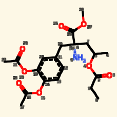 CCC(=O)OC(C)C[C@@](N)(Cc1ccc(OC(C)=O)c(OC(C)=O)c1)C(=O)OC